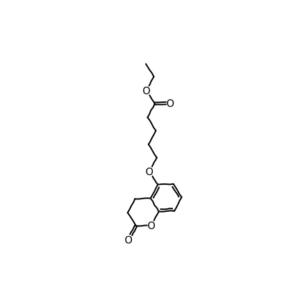 CCOC(=O)CCCCOc1cccc2c1CCC(=O)O2